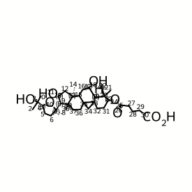 CC(C)(O)[C@@H]1CC[C@](C)([C@H]2[C@@H](O)C[C@@]3(C)C4C[C@H](O)[C@H]5C(C)(C)[C@@H](OC(=O)CCCC(=O)O)CCC56CC46CC[C@]23C)O1